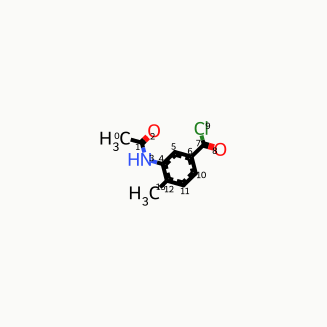 CC(=O)Nc1cc(C(=O)Cl)ccc1C